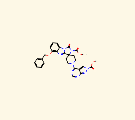 CC(C)(C)OC(=O)N1C(=O)n2c(nc3c(OCc4ccccc4)cccc32)C12CCN(c1ncnc3nn(C(=O)OC(C)(C)C)cc13)CC2